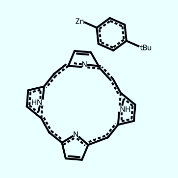 C1=Cc2cc3ccc(cc4nc(cc5ccc(cc1n2)[nH]5)C=C4)[nH]3.CC(C)(C)c1cc[c]([Zn])cc1